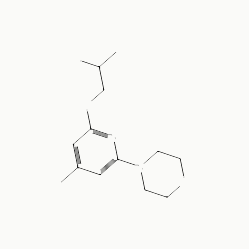 Cc1cc(OCC(C)O)nc(N2CCOCC2)c1